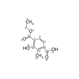 CCOC(=O)c1ccc(C(=O)O)c(C)c1O